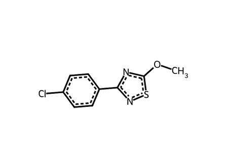 COc1nc(-c2ccc(Cl)cc2)ns1